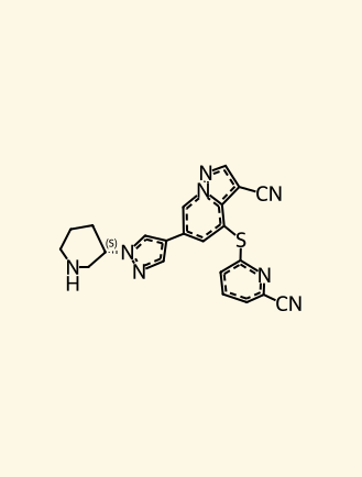 N#Cc1cccc(Sc2cc(-c3cnn([C@H]4CCCNC4)c3)cn3ncc(C#N)c23)n1